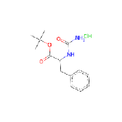 CC(C)(C)OC(=O)C(Cc1ccccc1)NC(N)=O.Cl